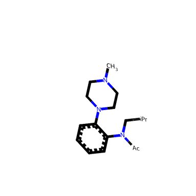 CC(=O)N(CC(C)C)c1ccccc1N1CCN(C)CC1